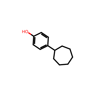 Oc1ccc(C2CCCCCC2)cc1